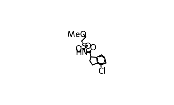 COCCS(=O)(=O)NC(=O)C1CCc2c(Cl)cccc21